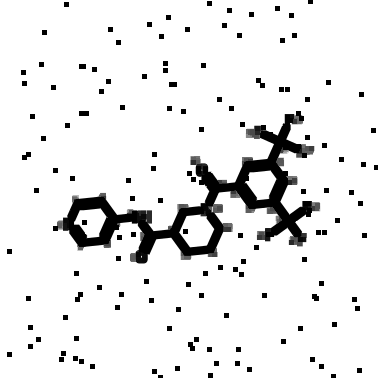 O=C(Nc1ccncc1)C1CCCN(C(=O)c2cc(C(F)(F)F)cc(C(F)(F)F)c2)C1